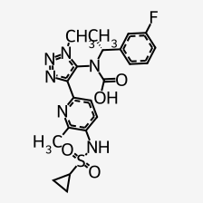 Cc1nc(-c2nnn(C)c2N(C(=O)O)[C@H](C)c2cccc(F)c2)ccc1NS(=O)(=O)C1CC1